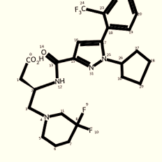 O=C(O)C[C@H](CN1CCCC(F)(F)C1)NC(=O)c1cc(-c2ccccc2C(F)(F)F)n(C2CCCC2)n1